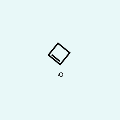 C1=CCC1.[O]